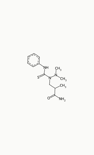 CC(CN(C(=S)Nc1ccccc1)N(C)C)C(N)=O